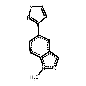 Cn1ncc2cc(C3=N[N]C=C3)ccc21